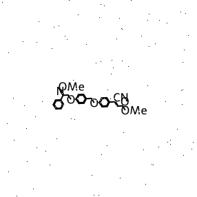 CO/N=C(\COc1ccc(COc2ccc(/C(C#N)=C/C(=O)OC)cc2)cc1)c1ccccc1